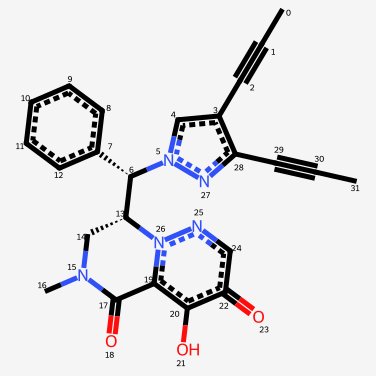 CC#Cc1cn([C@@H](c2ccccc2)[C@H]2CN(C)C(=O)c3c(O)c(=O)cnn32)nc1C#CC